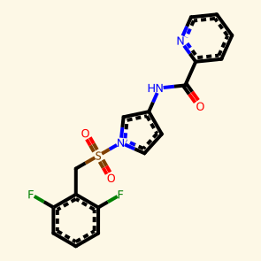 O=C(Nc1ccn(S(=O)(=O)Cc2c(F)cccc2F)c1)c1ccccn1